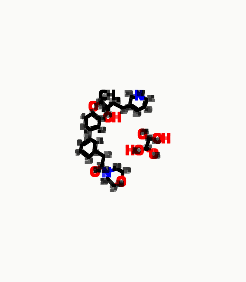 C[C@H](Oc1ccc(-c2cccc(CC(=O)N3CCOCC3)c2)cc1)[C@H](O)CCc1cccnc1.O=C(O)C(=O)O